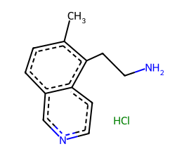 Cc1ccc2cnccc2c1CCN.Cl